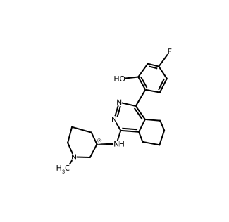 CN1CCC[C@@H](Nc2nnc(-c3ccc(F)cc3O)c3c2CCCC3)C1